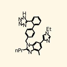 CCCc1nc2c(C)cc(-c3cn(CC)cn3)cc2n1Cc1ccc(-c2ccccc2-c2nnn[nH]2)cc1